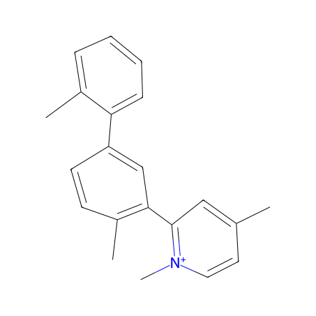 Cc1cc[n+](C)c(-c2cc(-c3ccccc3C)ccc2C)c1